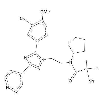 CCCC(C)(C)C(=O)N(CCn1nc(-c2ccncc2)nc1-c1ccc(OC)c(Cl)c1)C1CCCC1